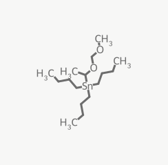 CCC[CH2][Sn]([CH2]CCC)([CH2]CCC)[CH](C)OCOC